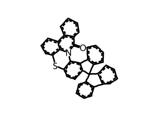 O=c1c2ccccc2c2cccc3c2n1-c1c(ccc2c1-c1ccccc1C21c2ccccc2-c2ccccc21)S3